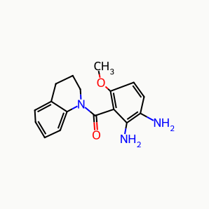 COc1ccc(N)c(N)c1C(=O)N1CCCc2ccccc21